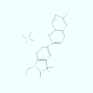 CC[N+]1=C(C)C(C)(C)c2cc(-c3ccc4cc(O)ccc4c3)ccc21.F[B-](F)(F)F